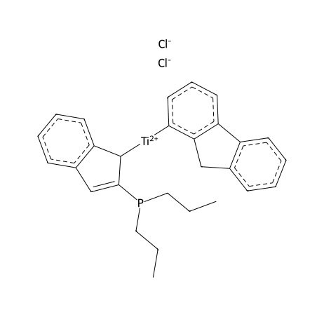 CCCP(CCC)C1=Cc2ccccc2[CH]1[Ti+2][c]1cccc2c1Cc1ccccc1-2.[Cl-].[Cl-]